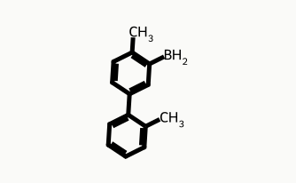 Bc1cc(-c2ccccc2C)ccc1C